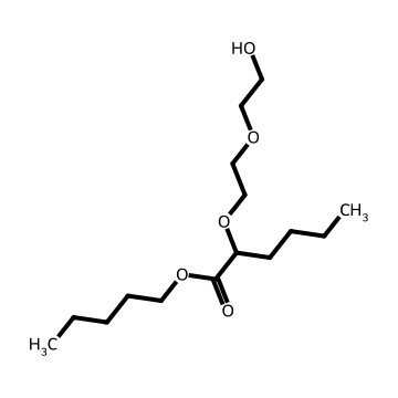 CCCCCOC(=O)C(CCCC)OCCOCCO